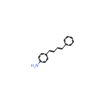 Nc1ccc(/C=C/C=C/c2ccccc2)cc1